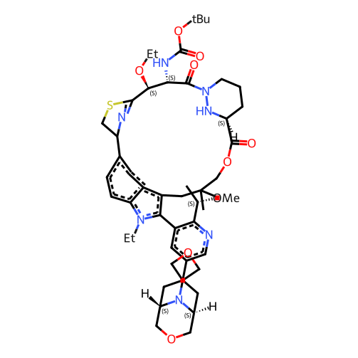 CCO[C@@H]1C2=NC(CS2)c2ccc3c(c2)c(c(-c2cc(C4C[C@H]5COC[C@H](C4)N5C4COC4)cnc2[C@H](C)OC)n3CC)CC(C)(C)COC(=O)[C@@H]2CCCN(N2)C(=O)[C@H]1NC(=O)OC(C)(C)C